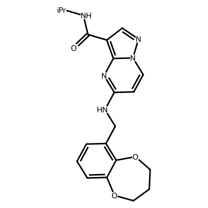 CC(C)NC(=O)c1cnn2ccc(NCc3cccc4c3OCCCO4)nc12